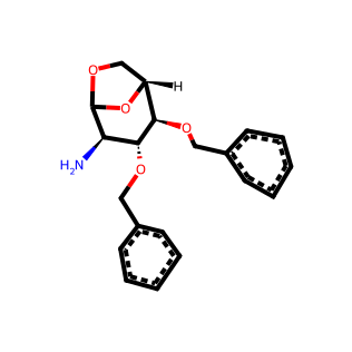 N[C@H]1C2OC[C@@H](O2)[C@@H](OCc2ccccc2)[C@@H]1OCc1ccccc1